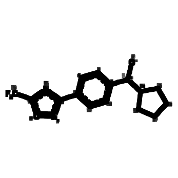 [O-][S+](c1ccc(-c2noc(C(F)(F)F)n2)cc1)C1CCCC1